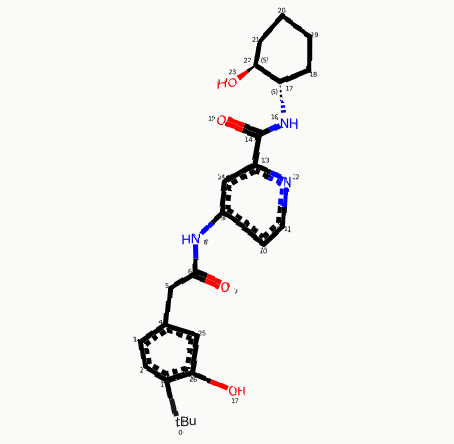 CC(C)(C)c1ccc(CC(=O)Nc2ccnc(C(=O)N[C@H]3CCCC[C@@H]3O)c2)cc1O